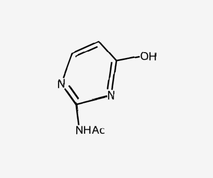 CC(=O)Nc1nccc(O)n1